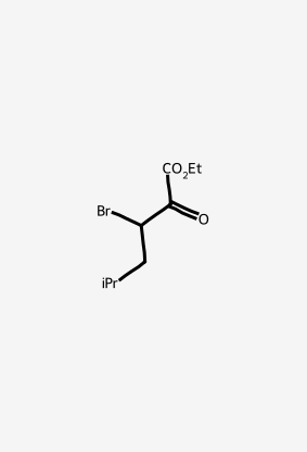 CCOC(=O)C(=O)C(Br)CC(C)C